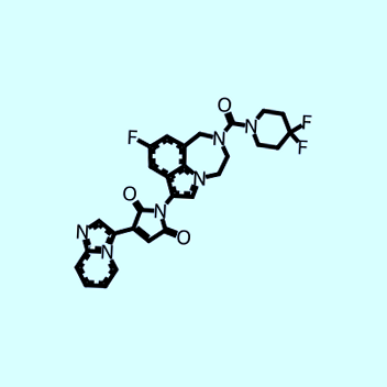 O=C(N1CCC(F)(F)CC1)N1CCn2cc(N3C(=O)C=C(c4cnc5ccccn45)C3=O)c3cc(F)cc(c32)C1